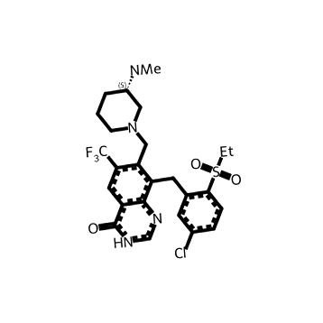 CCS(=O)(=O)c1ccc(Cl)cc1Cc1c(CN2CCC[C@H](NC)C2)c(C(F)(F)F)cc2c(=O)[nH]cnc12